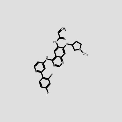 C=CC(=O)Nc1cc2c(Nc3ccnc(-c4ccc(F)cc4F)c3)ncnc2cc1OC1CCN(C)C1